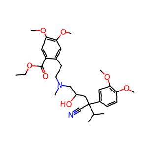 CCOC(=O)c1cc(OC)c(OC)cc1CCN(C)CC(O)CC(C#N)(c1ccc(OC)c(OC)c1)C(C)C